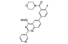 CNc1nc(-c2cccnc2)nc2ccc(-c3ccc(F)c(C(=O)N4CCOCC4)c3)cc12